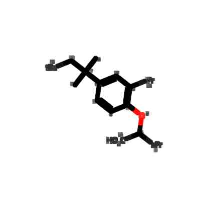 CCCC(Oc1ccc(C(C)(C)CC(C)(C)C)cc1C(C)C)C(=O)O